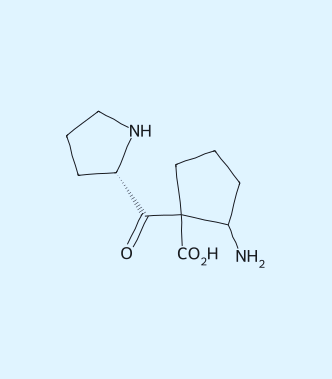 NC1CCCC1(C(=O)O)C(=O)[C@@H]1CCCN1